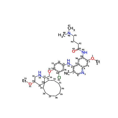 CCOc1cc2ncc(C#N)c(Nc3ccc(OCC4NCC(OCC)CC45CCCCCCCCC5)c(Cl)c3)c2cc1NC(=O)CCCN(C)C